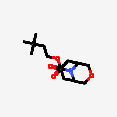 C[Si](C)(C)CCOC(=O)N1C2COCC1CC(=O)C2